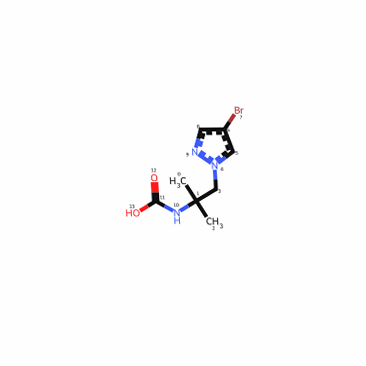 CC(C)(Cn1cc(Br)cn1)NC(=O)O